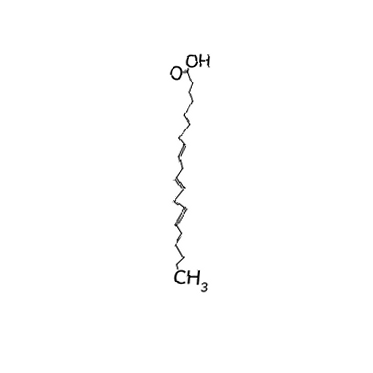 CCCCCC=CCC=CCC=CCCCCCCC(=O)O